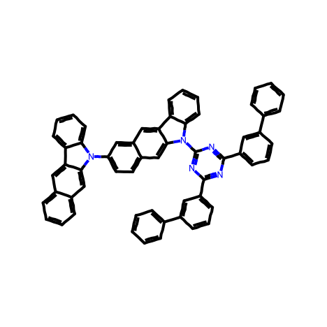 c1ccc(-c2cccc(-c3nc(-c4cccc(-c5ccccc5)c4)nc(-n4c5ccccc5c5cc6cc(-n7c8ccccc8c8cc9ccccc9cc87)ccc6cc54)n3)c2)cc1